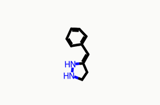 C(=C1CCNN1)c1ccccc1